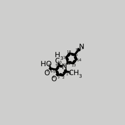 Cc1cc(=O)c(C(=O)O)c(C)n1-c1ccc(C#N)cc1